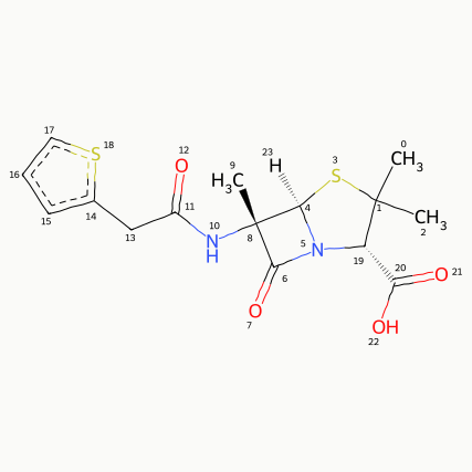 CC1(C)S[C@H]2N(C(=O)[C@]2(C)NC(=O)Cc2cccs2)[C@H]1C(=O)O